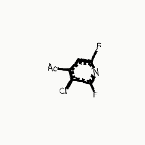 CC(=O)c1cc(F)nc(F)c1Cl